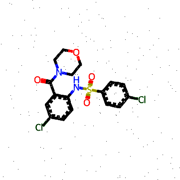 O=C(c1cc(Cl)ccc1NS(=O)(=O)c1ccc(Cl)cc1)N1CCOCC1